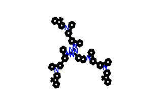 CC1(C)c2ccccc2-c2ccc(-n3c4ccccc4c4cc(-c5ccc6c(c5)c5ccccc5n6-c5ccc6ccc(-c7nc(-n8c9ccccc9c9cc(-c%10ccc%11c(c%10)c%10ccccc%10n%11-c%10ccc%11c(c%10)C(C)(C)c%10ccccc%10-%11)ccc98)nc(-n8c9ccccc9c9cc(-c%10ccc%11c(c%10)c%10ccccc%10n%11-c%10ccc%11c(c%10)C(C)(C)c%10ccccc%10-%11)ccc98)n7)cc6c5)ccc43)cc21